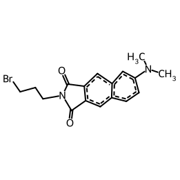 CN(C)c1ccc2cc3c(cc2c1)C(=O)N(CCCBr)C3=O